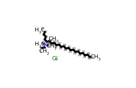 C=CC[N+](C)(C)C(CCCCC)C(C)CCCCCCCCCCCCCCCCCC.[Cl-]